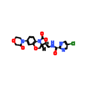 O=C(NC[C@@H]1OC(=O)N2c3ccc(N4CCOCC4=O)cc3OC[C@@H]12)c1ncc(Cl)cn1